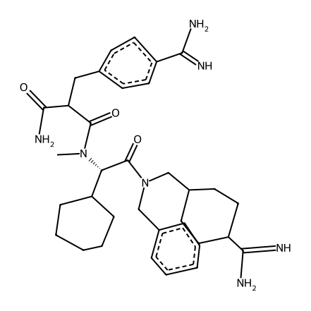 CN(C(=O)C(Cc1ccc(C(=N)N)cc1)C(N)=O)[C@H](C(=O)N(Cc1ccccc1)CC1CCC(C(=N)N)CC1)C1CCCCC1